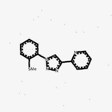 CSc1ccccc1-n1cc(-c2ccccn2)nn1